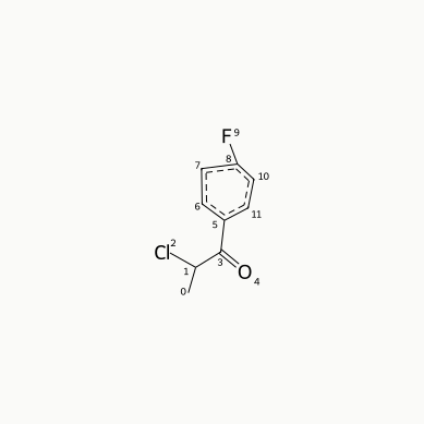 CC(Cl)C(=O)c1ccc(F)cc1